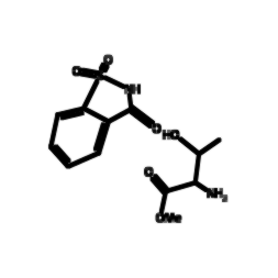 COC(=O)C(N)C(C)O.O=C1NS(=O)(=O)c2ccccc21